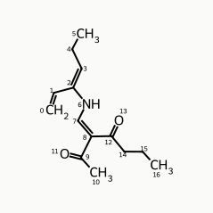 C=C/C(=C\CC)N/C=C(/C(C)=O)C(=O)CCC